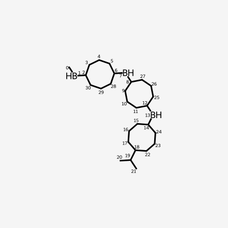 CBC1CCCC(BC2CCCC(BC3CCCC(C(C)C)CCC3)CCC2)CCC1